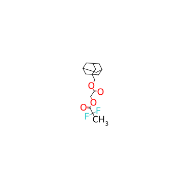 CC(F)(F)C(=O)OCC(=O)OCC12CC3CC(CC(C3)C1)C2